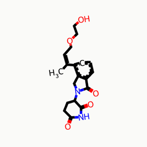 C/C(=C/COCCO)c1cccc2c1CN(C1CCC(=O)NC1=O)C2=O